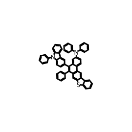 c1ccc(-c2c(-c3ccc4c(c3)c3ccccc3n4-c3ccccc3)c3cc(N(c4ccccc4)c4ccccc4)ccc3c3cc4c(cc23)sc2ccccc24)cc1